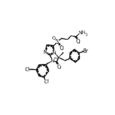 C[C@@]1(Cc2ccc(Br)cc2)C(=O)N(c2cc(Cl)cc(Cl)c2)c2ncc(S(=O)(=O)CCCC(N)=O)n21